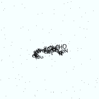 Cc1c(COc2cc(OCc3cncc(C#N)c3)c(C=O)cc2Cl)cccc1-c1cccc(OCCCN2CCC3(CCCN(C(=O)OC(C)(C)C)C3)CC2)c1C